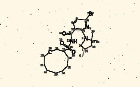 C[C@@H]1CN(c2nc(Br)ccc2C(=O)NS(=O)(=O)C2CCCCCCCCC2)C(C)(C)C1